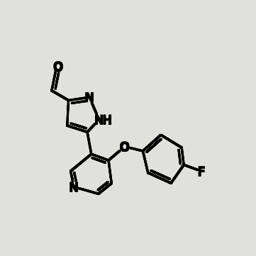 O=Cc1cc(-c2cnccc2Oc2ccc(F)cc2)[nH]n1